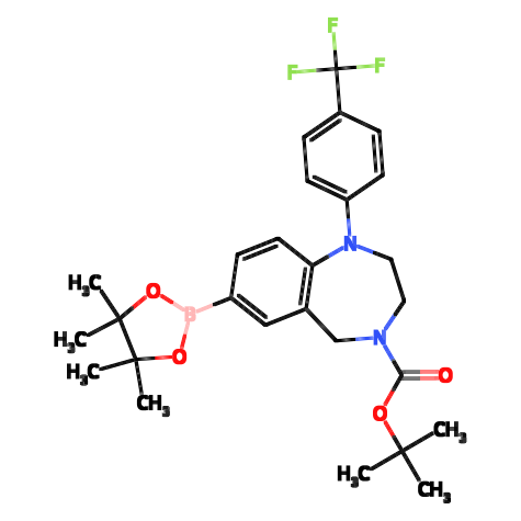 CC(C)(C)OC(=O)N1CCN(c2ccc(C(F)(F)F)cc2)c2ccc(B3OC(C)(C)C(C)(C)O3)cc2C1